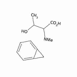 CNC(C(=O)O)C(C)O.c1ccc2c(c1)C2